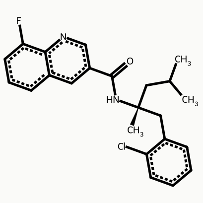 CC(C)C[C@](C)(Cc1ccccc1Cl)NC(=O)c1cnc2c(F)cccc2c1